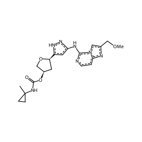 COCc1cn2c(Nc3cc([C@H]4C[C@@H](OC(=O)NC5(C)CC5)CO4)[nH]n3)nccc2n1